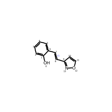 Oc1ccccc1/C=C/c1ccon1